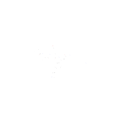 Cc1ncsc1-c1ccc([C@H](CC(=O)N2CCC(CC3CCNCC3)CC2)NC(=O)[C@@H]2C[C@@H](O)CN2C(=O)[C@@H](NC(=O)C2(F)CC2)C(C)(C)C)cc1